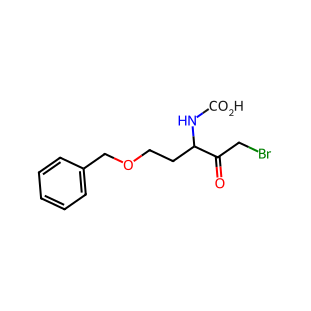 O=C(O)NC(CCOCc1ccccc1)C(=O)CBr